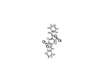 O=C1O/C(=C\c2ccccc2)c2cc3c(cc21)/C(=C/c1ccccc1)OC3=O